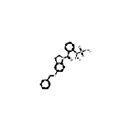 CN(c1ccccc1C(=O)N1CCc2cc(SCc3ccccc3)ccc21)S(C)(=O)=O